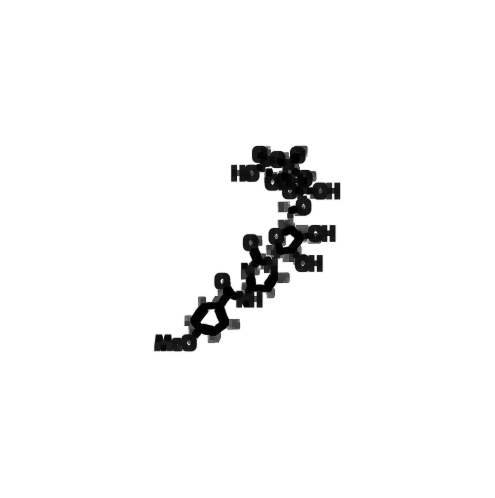 COc1ccc(C(=O)Nc2ccn([C@@H]3O[C@H](COP(=O)(O)OP(=O)(O)OP(=O)(O)O)[C@@H](O)[C@H]3O)c(=O)n2)cc1